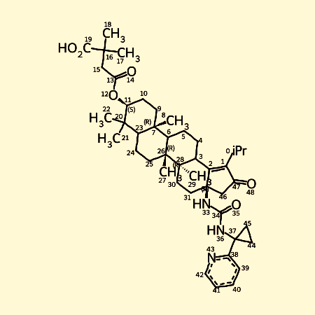 CC(C)C1=C2C3CCC4[C@@]5(C)CC[C@H](OC(=O)CC(C)(C)C(=O)O)C(C)(C)C5CC[C@@]4(C)[C@]3(C)CC[C@@]2(NC(=O)NC2(c3ccccn3)CC2)CC1=O